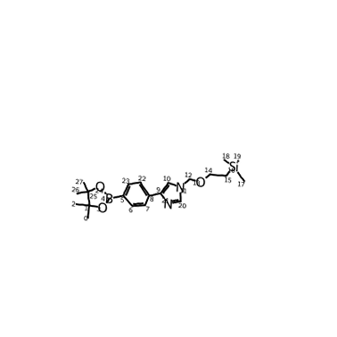 CC1(C)OB(c2ccc(-c3cn(COCC[Si](C)(C)C)cn3)cc2)OC1(C)C